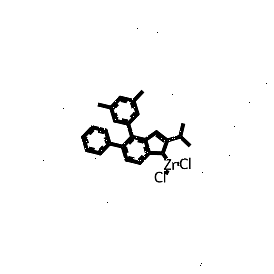 Cc1cc(C)cc(-c2c(-c3ccccc3)ccc3c2C=C(C(C)C)[CH]3[Zr]([Cl])[Cl])c1